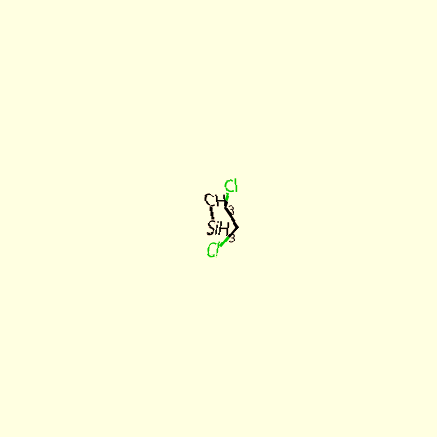 C[SiH3].ClCCCl